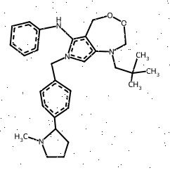 CN1CCCC1c1ccc(Cn2cc3c(c2Nc2ccccc2)COOCN3CC(C)(C)C)cc1